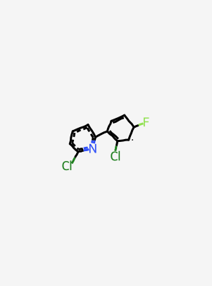 FC1[CH]C(Cl)=C(c2cccc(Cl)n2)C=C1